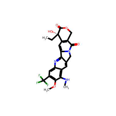 CC[C@@]1(O)C(=O)OCc2c1cc1n(c2=O)Cc2cc3c(NC)c(OC)c(C(F)(F)F)cc3nc2-1